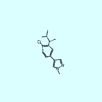 CC(C)C(C)c1cc(-c2cnn(C)c2)ccc1Cl